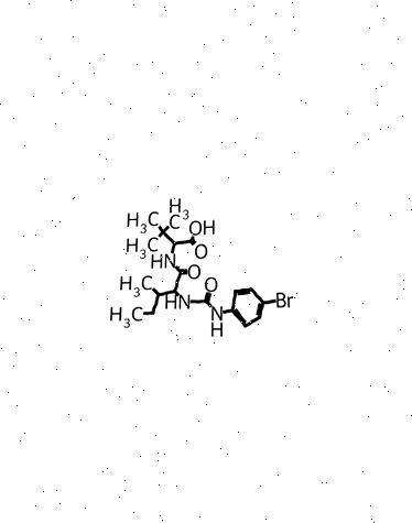 CCC(C)C(NC(=O)Nc1ccc(Br)cc1)C(=O)NC(C(=O)O)C(C)(C)C